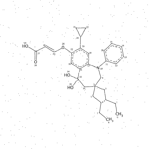 CCCCC1(CCCC)CN(c2ccccc2)c2cc(C3CC3)c(OC=CC(=O)O)cc2S(O)(O)C1